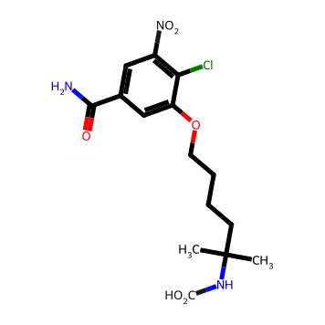 CC(C)(CCCCOc1cc(C(N)=O)cc([N+](=O)[O-])c1Cl)NC(=O)O